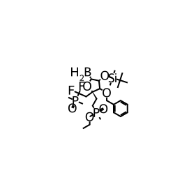 B[C@@H]1O[C@@](CCP(C)(=O)OCC)(CC(F)(F)P(C)(C)=O)C(OCc2ccccc2)[C@@H]1O[Si](C)(C)C(C)(C)C